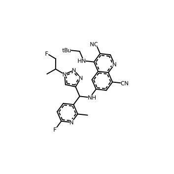 Cc1nc(F)ccc1C(Nc1cc(C#N)c2ncc(C#N)c(NCC(C)(C)C)c2c1)c1cn(C(C)CF)nn1